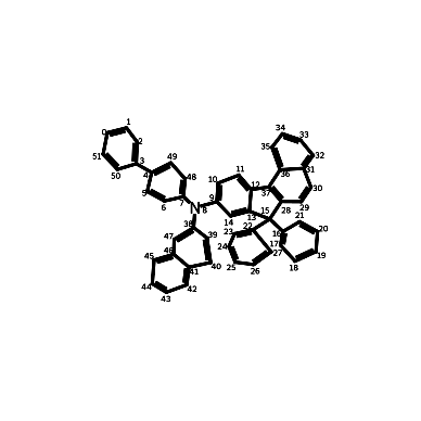 c1ccc(-c2ccc(N(c3ccc4c(c3)C(c3ccccc3)(c3ccccc3)c3ccc5ccccc5c3-4)c3ccc4ccccc4c3)cc2)cc1